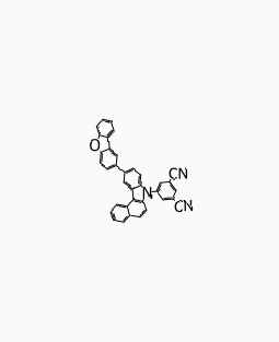 N#Cc1cc(C#N)cc(-n2c3ccc(-c4ccc5oc6ccccc6c5c4)cc3c3c4ccccc4ccc32)c1